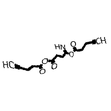 C#CCCC(=O)OC(=N)CCC(=O)OC(=O)CCC#C